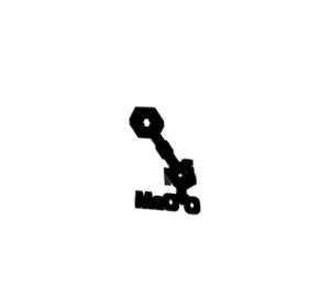 COC(=O)c1csc(C#Cc2ccccc2)n1